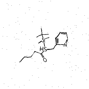 CCCCC(=O)[SH](Cc1ccccn1)[Si](C)(C)C(C)(C)C